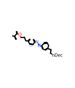 C=C(/C=C\C(=C)N=NC1=CC=C(CCCCCCCCCCCC)CC#C1)CCCOC(=C)C(=C)C